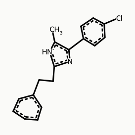 Cc1[nH]c(CCc2ccccc2)nc1-c1ccc(Cl)cc1